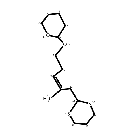 C/C(=C/CCOC1CCCCO1)CC1SCCCS1